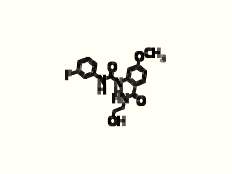 COc1ccc(C(=O)NCCO)c(NC(=O)Nc2cccc(F)c2)c1